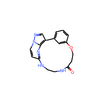 O=C1CCOc2cccc(c2)-c2cnn3ccc(nc23)NCCN1